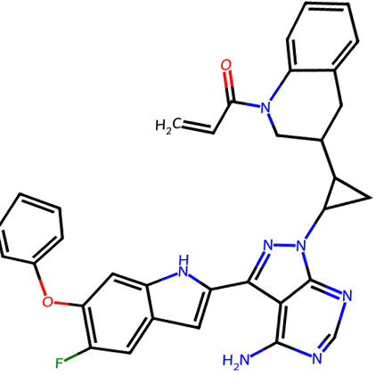 C=CC(=O)N1CC(C2CC2n2nc(-c3cc4cc(F)c(Oc5ccccc5)cc4[nH]3)c3c(N)ncnc32)Cc2ccccc21